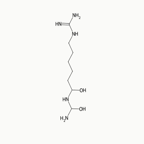 N=C(N)NCCCCCC(O)NC(N)O